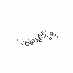 COC(=O)NC(CC/C=C/C(=O)N(C)C)C(=O)Nc1ccc(Cl)n(Cc2nc3c(CC(C)C)cccc3[nH]2)c1=O